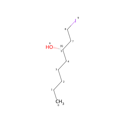 CCCCC[C@H](O)CCI